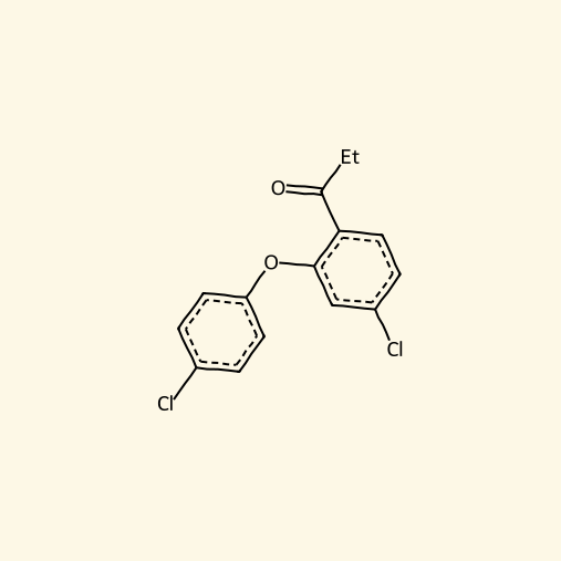 CCC(=O)c1ccc(Cl)cc1Oc1ccc(Cl)cc1